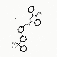 C=N/C(=N\C(=N/Cc1cccc(-c2ccc3c(c2)C(C)(C)c2ccccc2-3)c1)c1ccccc1)c1ccccc1